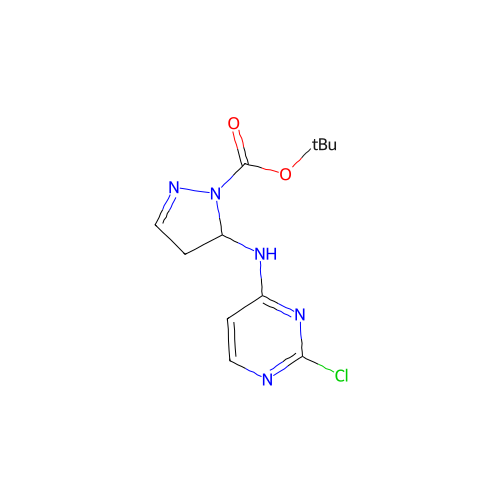 CC(C)(C)OC(=O)N1N=CCC1Nc1ccnc(Cl)n1